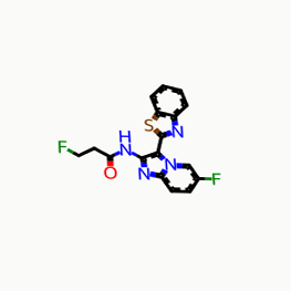 O=C(CCF)Nc1nc2ccc(F)cn2c1-c1nc2ccccc2s1